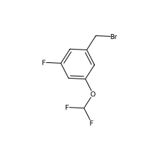 Fc1cc(CBr)cc(OC(F)F)c1